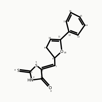 O=C1NC(=S)S/C1=C\C1CC=C(c2ccccc2)O1